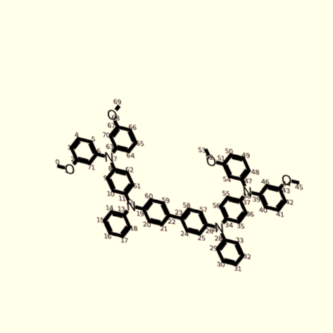 COc1cccc(N(c2ccc(N(c3ccccc3)c3ccc(-c4ccc(N(c5ccccc5)c5ccc(N(c6cccc(OC)c6)c6cccc(OC)c6)cc5)cc4)cc3)cc2)c2cccc(OC)c2)c1